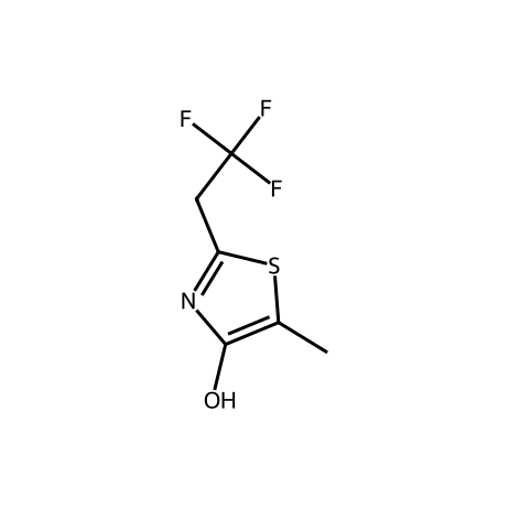 Cc1sc(CC(F)(F)F)nc1O